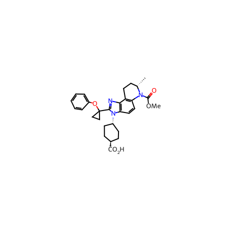 COC(=O)N1c2ccc3c(nc(C4(Oc5ccccc5)CC4)n3[C@H]3CC[C@H](C(=O)O)CC3)c2CC[C@@H]1C